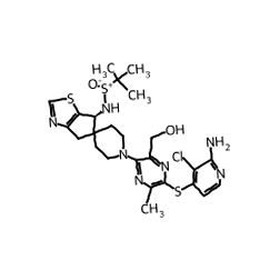 Cc1nc(N2CCC3(CC2)Cc2ncsc2[C@H]3N[S@+]([O-])C(C)(C)C)c(CO)nc1Sc1ccnc(N)c1Cl